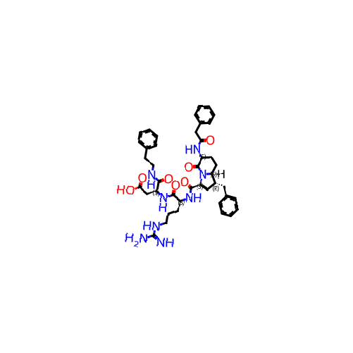 N=C(N)NCCC[C@H](NC(=O)[C@@H]1C[C@@H](Cc2ccccc2)[C@@H]2CC[C@H](NC(=O)Cc3ccccc3)C(=O)N12)C(=O)N[C@@H](CC(=O)O)C(=O)NCCc1ccccc1